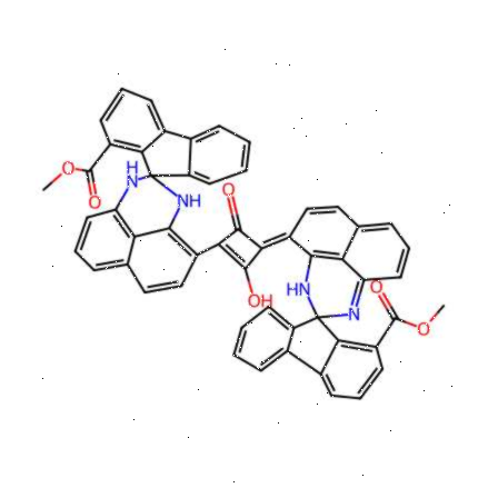 COC(=O)c1cccc2c1C1(N=c3cccc4cc/c(=C5\C(=O)C(c6ccc7cccc8c7c6NC6(N8)c7ccccc7-c7cccc(C(=O)OC)c76)=C5O)c(c34)N1)c1ccccc1-2